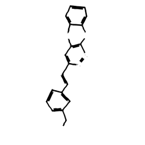 OCc1cccc(/C=C/c2cc3c(nn2)Oc2ccccc2O3)c1